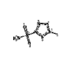 Cn1cnc(S(N)(=O)=O)n1